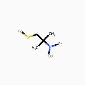 CCC(C)N(CC)C(C)(C)CSC(C)C